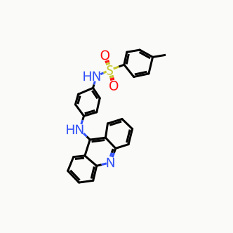 Cc1ccc(S(=O)(=O)Nc2ccc(Nc3c4ccccc4nc4ccccc34)cc2)cc1